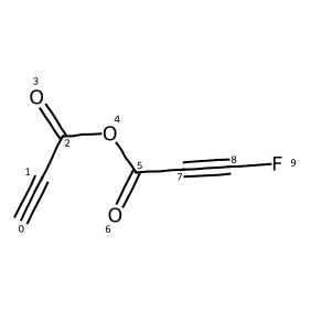 C#CC(=O)OC(=O)C#CF